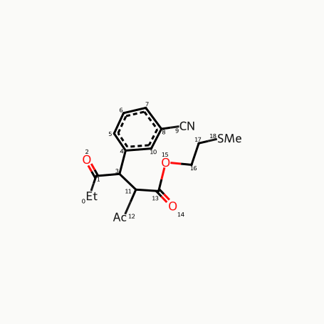 CCC(=O)C(c1cccc(C#N)c1)C(C(C)=O)C(=O)OCCSC